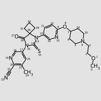 COCCN1CCC(Oc2ccc(N3C(=S)N(c4cnc(C#N)c(C)c4)C(=O)C34CCC4)cn2)CC1